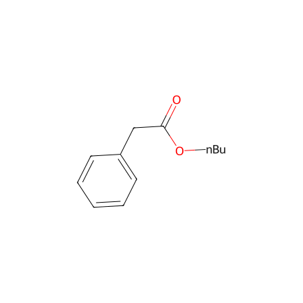 [CH2]CCCOC(=O)Cc1ccccc1